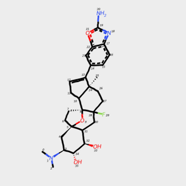 CN(C)[C@H]1C[C@@]23CC[C@]4(O2)C2CC=C(c5ccc6nc(N)oc6c5)[C@@]2(C)CCC4(F)CC3[C@@H](O)[C@@H]1O